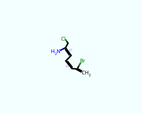 C=C(Br)/C=C\C=C(/N)CCl